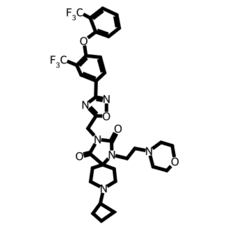 O=C1N(Cc2nc(-c3ccc(Oc4ccccc4C(F)(F)F)c(C(F)(F)F)c3)no2)C(=O)C2(CCN(C3CCC3)CC2)N1CCN1CCOCC1